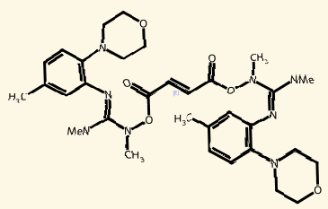 CNC(=Nc1cc(C)ccc1N1CCOCC1)N(C)OC(=O)/C=C/C(=O)ON(C)C(=Nc1cc(C)ccc1N1CCOCC1)NC